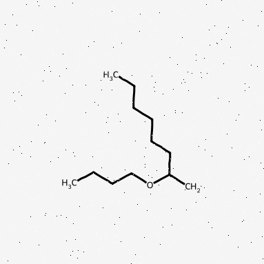 [CH2]C(CCCCCC)OCCCC